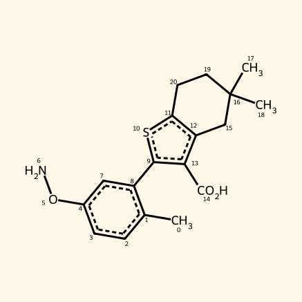 Cc1ccc(ON)cc1-c1sc2c(c1C(=O)O)CC(C)(C)CC2